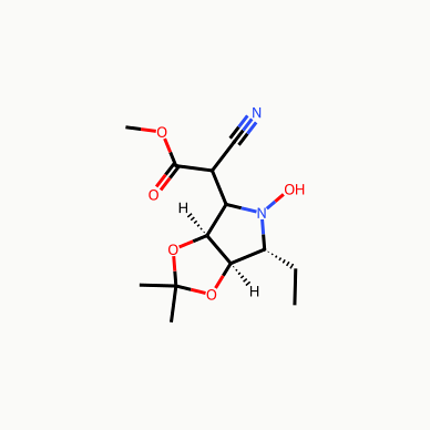 CC[C@@H]1[C@H]2OC(C)(C)O[C@H]2C(C(C#N)C(=O)OC)N1O